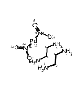 NCCN.NCCN.O=[N+]([O-])[Pd][N+](=O)[O-]